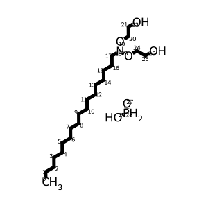 CCCCCCCCCCCCCCCCCCN(OCCO)OCCO.O=[PH2]O